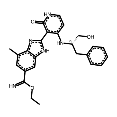 CCOC(=N)c1cc(C)c2nc(-c3c(N[C@H](CO)Cc4ccccc4)cc[nH]c3=O)[nH]c2c1